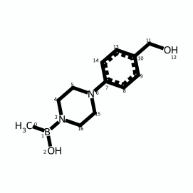 CB(O)N1CCN(c2ccc(CO)cc2)CC1